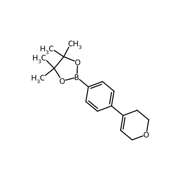 CC1(C)OB(c2ccc(C3=CCOCC3)cc2)OC1(C)C